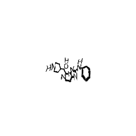 OC(c1nccc2nc(Nc3ccccc3)nn12)C1CCNCC1